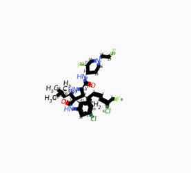 C=C(/C=C\C=C(\Cl)CF)[C@H]1[C@H](C(=O)N[C@@H]2CCN(CCF)C[C@@H]2F)N[C@H](CC(C)(C)C)[C@]12C(=O)Nc1cc(Cl)ccc12